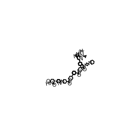 CC(C)n1cnc2cc(-c3ccc4c(c3)N(C3CC(N5CCCCC5)C3)C(=O)C43CCN(C(=O)c4cccc(C5CCN(C(=O)C6CCN(c7ccc([C@H]8CCC(=O)NC8=O)cn7)CC6)CC5)c4)CC3)nc(NC3CC3)c21